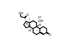 C[C@]12C[C@H](O)[C@H]3[C@@H](CCC4=CC(=O)CC[C@@]43C)[C@@H]1CC[C@@H]2C(=O)CO.[H+]